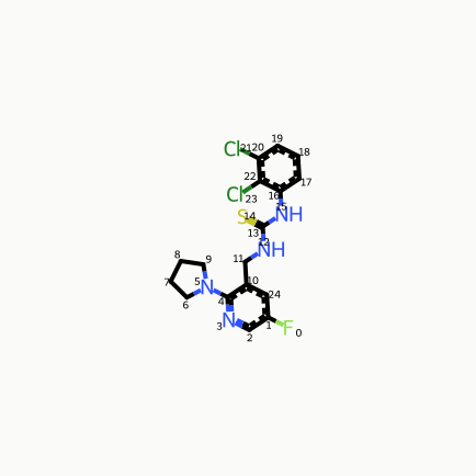 Fc1cnc(N2CCCC2)c(CNC(=S)Nc2cccc(Cl)c2Cl)c1